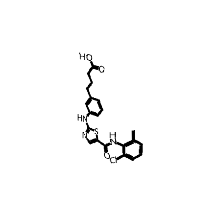 Cc1cccc(Cl)c1NC(=O)c1cnc(Nc2cccc(CCCC(=O)O)c2)s1